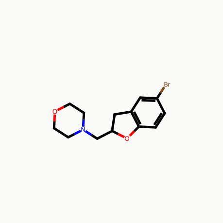 Brc1ccc2c(c1)CC(CN1CCOCC1)O2